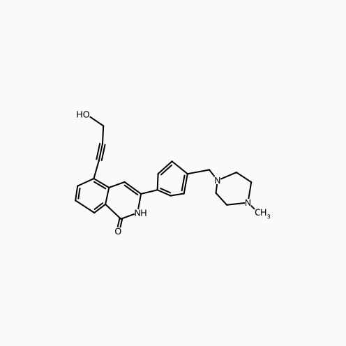 CN1CCN(Cc2ccc(-c3cc4c(C#CCO)cccc4c(=O)[nH]3)cc2)CC1